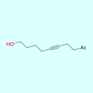 CC(=O)CCC#CCCCCO